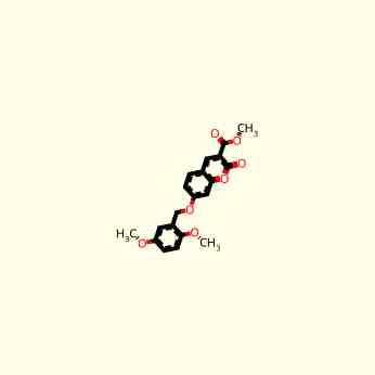 COC(=O)c1cc2ccc(OCc3cc(OC)ccc3OC)cc2oc1=O